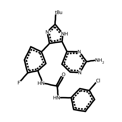 CC(C)(C)c1nc(-c2ccc(F)c(NC(=O)Nc3cccc(Cl)c3)c2)c(-c2ccnc(N)n2)[nH]1